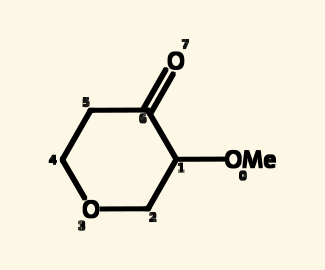 COC1COCCC1=O